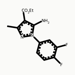 CCOC(=O)c1c(C)nn(-c2ccc(F)c(F)c2)c1N